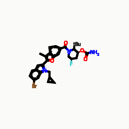 Cc1c(-c2cc3ccc(Br)cc3n2CC2CC2)oc2cc(C(=O)N3C[C@H](F)C[C@@H](OC(N)=O)C3C(C)(C)C)ccc12